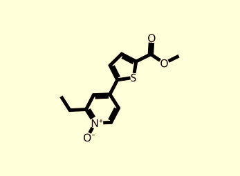 CCc1cc(-c2ccc(C(=O)OC)s2)cc[n+]1[O-]